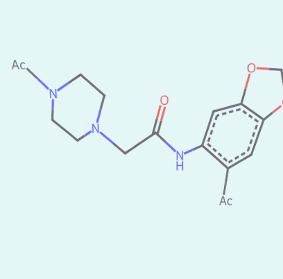 CC(=O)c1cc2c(cc1NC(=O)CN1CCN(C(C)=O)CC1)OCO2